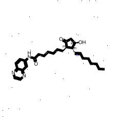 CCCCCC/C=C/[C@H]1[C@H](O)CC(=O)[C@@H]1CCCCCCC(=O)Nc1ccc2nccnc2c1